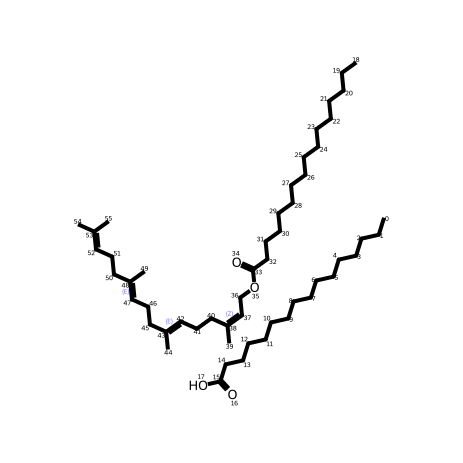 CCCCCCCCCCCCCCCC(=O)O.CCCCCCCCCCCCCCCC(=O)OC/C=C(/C)CC/C=C(\C)CC/C=C(\C)CCC=C(C)C